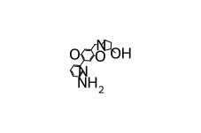 COc1cc(-c2cccc(N)n2)c(OC)cc1CN1CCC(O)C1